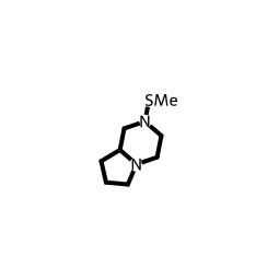 CSN1CCN2CCCC2C1